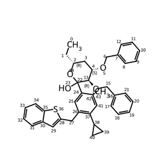 CC[C@@H]1C[C@H](OCc2ccccc2)[C@@H](OCc2ccccc2)C(O)(c2cc(Cc3cc4ccccc4s3)c(C3CC3)cc2C)O1